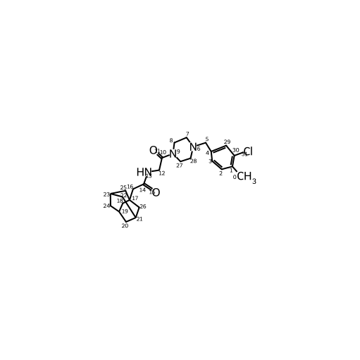 Cc1ccc(CN2CCN(C(=O)CNC(=O)CC34CC5CC(CC(C5)C3)C4)CC2)cc1Cl